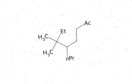 CCCC(CCC(C)=O)C(C)(C)CC